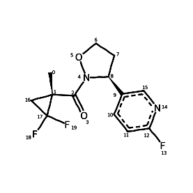 C[C@]1(C(=O)N2OCC[C@H]2c2ccc(F)nc2)CC1(F)F